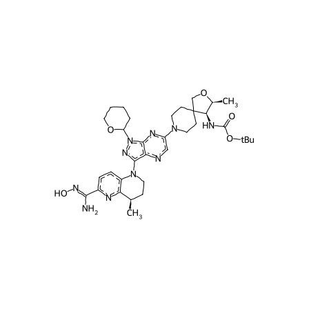 C[C@@H]1CCN(c2nn(C3CCCCO3)c3nc(N4CCC5(CC4)CO[C@@H](C)[C@H]5NC(=O)OC(C)(C)C)cnc23)c2ccc(/C(N)=N/O)nc21